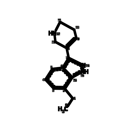 CCc1cccc2c(C3=CCCNC3)n[nH]c12